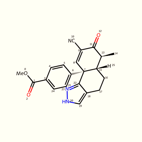 COC(=O)c1ccc([C@]23C=C(C#N)C(=O)[C@@H](C)[C@@H]2CCc2c[nH]nc23)cc1